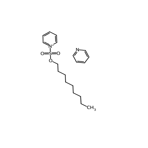 CCCCCCCCCOS(=O)(=O)[n+]1ccccc1.c1ccncc1